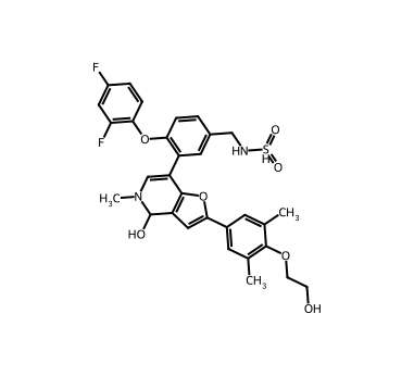 Cc1cc(-c2cc3c(o2)C(c2cc(CN[SH](=O)=O)ccc2Oc2ccc(F)cc2F)=CN(C)C3O)cc(C)c1OCCO